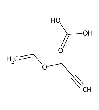 C#CCOC=C.O=C(O)O